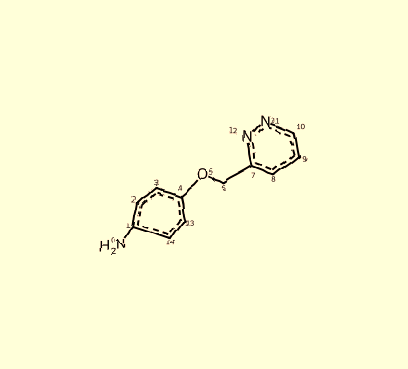 Nc1ccc(OCc2cccnn2)cc1